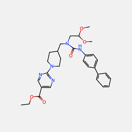 CCOC(=O)c1cnc(N2CCC(CN(CC(OC)OC)C(=O)Nc3ccc(-c4ccccc4)cc3)CC2)nc1